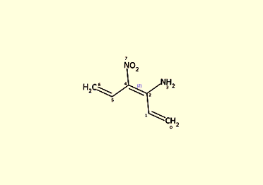 C=C/C(N)=C(\C=C)[N+](=O)[O-]